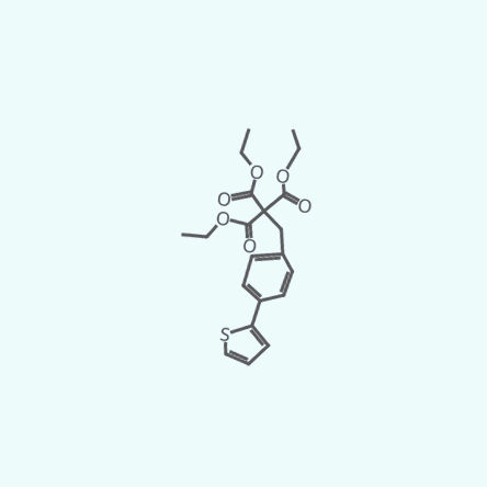 CCOC(=O)C(Cc1ccc(-c2cccs2)cc1)(C(=O)OCC)C(=O)OCC